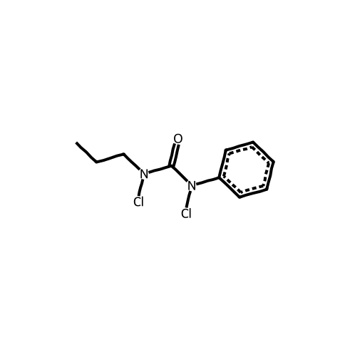 CCCN(Cl)C(=O)N(Cl)c1ccccc1